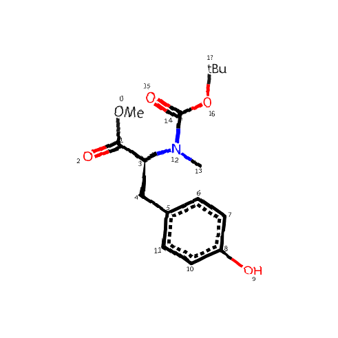 COC(=O)[C@H](Cc1ccc(O)cc1)N(C)C(=O)OC(C)(C)C